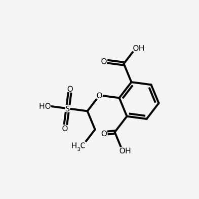 CCC(Oc1c(C(=O)O)cccc1C(=O)O)S(=O)(=O)O